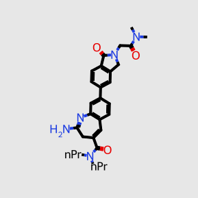 CCCN(CCC)C(=O)C1=Cc2ccc(-c3ccc4c(c3)CN(CC(=O)N(C)C)C4=O)cc2N=C(N)C1